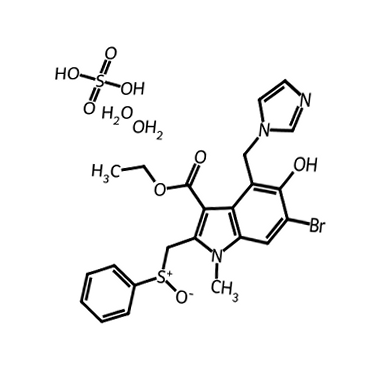 CCOC(=O)c1c(C[S+]([O-])c2ccccc2)n(C)c2cc(Br)c(O)c(Cn3ccnc3)c12.O.O.O=S(=O)(O)O